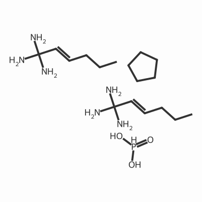 C1CCCC1.CCC/C=C/C(N)(N)N.CCC/C=C/C(N)(N)N.O=[PH](O)O